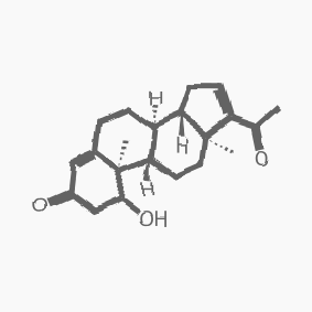 CC(=O)C1=CC[C@H]2[C@@H]3CCC4=CC(=O)CC(O)[C@]4(C)[C@H]3CC[C@]12C